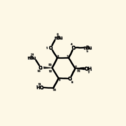 CCCCOC1C(OCCCC)[C@@H](O)OC(CO)[C@@H]1OCCCC